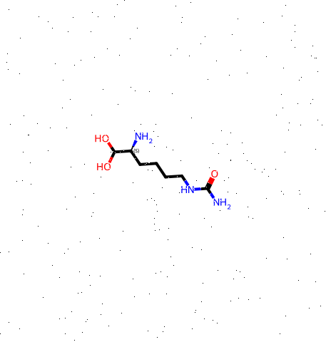 NC(=O)NCCCC[C@H](N)C(O)O